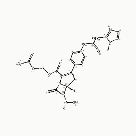 C[C@@H](O)[C@H]1C(=O)N2C(C(=O)OCOC(=O)C(C)(C)C)=C(c3ccc(NC(=O)Nc4nccn4C)cc3)C[C@H]12